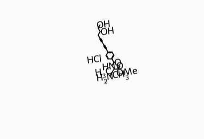 COC(=O)C(NC(=O)c1ccc(C#CC#CC[C@@H](O)CO)cc1)C(C)(C)N.Cl